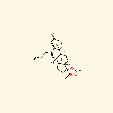 C=CCCC1=C[C@@H]2[C@H](CC[C@@]3(C)[C@H]2CC[C@@]3(OC(C)=O)C(C)=O)[C@@]2(C)CCC(=O)C=C12